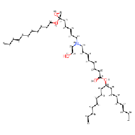 CCCCCCCCCCCOC1(CCCCCN(CCO)CCCCCCCC(=O)OC(CCCCCCCC)CCCCCCCC)CO1